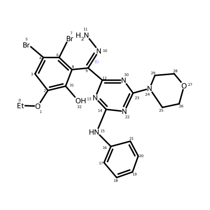 CCOc1cc(Br)c(Br)c(/C(=N\N)c2nc(Nc3ccccc3)nc(N3CCOCC3)n2)c1O